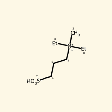 CC[N+](C)(CC)CCCS(=O)(=O)O